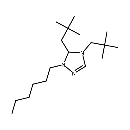 CCCCCCN1N=CN(CC(C)(C)C)C1CC(C)(C)C